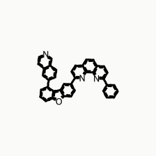 c1ccc(-c2ccc3ccc4ccc(-c5ccc6oc7cccc(-c8ccc9cnccc9c8)c7c6c5)nc4c3n2)cc1